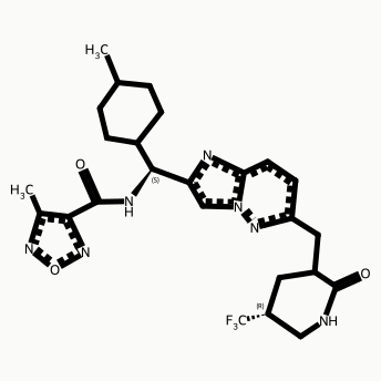 Cc1nonc1C(=O)N[C@H](c1cn2nc(CC3C[C@@H](C(F)(F)F)CNC3=O)ccc2n1)C1CCC(C)CC1